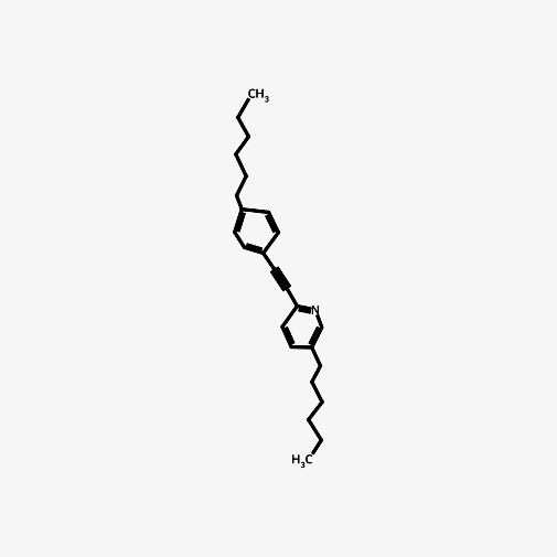 CCCCCCc1ccc(C#Cc2ccc(CCCCCC)cn2)cc1